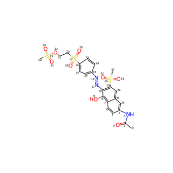 CC(=O)Nc1ccc2c(O)c(/N=N/c3ccc(S(=O)(=O)CCOS(C)(=O)=O)cc3)c(S(C)(=O)=O)cc2c1